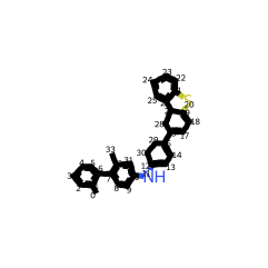 Cc1ccccc1-c1ccc(NC2=CC=C(C3=CC=C4Sc5ccccc5C4C3)CC2)cc1C